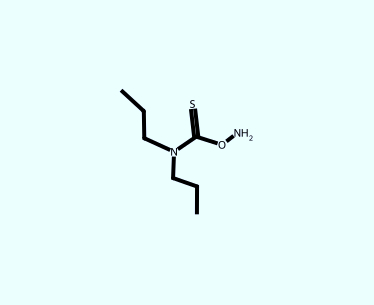 CCCN(CCC)C(=S)ON